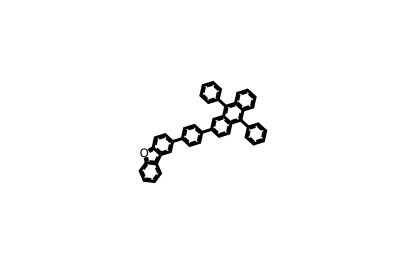 c1ccc(-c2c3ccccc3c(-c3ccccc3)c3cc(-c4ccc(-c5ccc6oc7ccccc7c6c5)cc4)ccc23)cc1